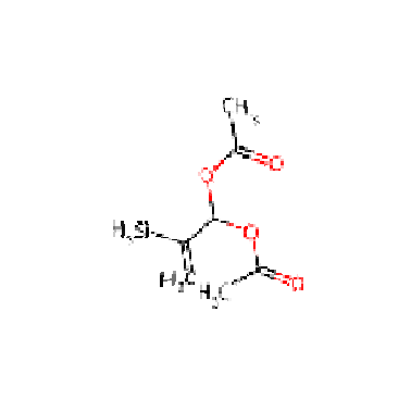 C=C([SiH3])C(OC(C)=O)OC(C)=O